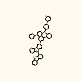 c1ccc(-c2ccc(N(c3ccc(-c4cccnc4)cc3)c3ccccc3-c3cccc(-c4ccc5c(c4)c4ccccc4n5-c4cccc5c4oc4ccccc45)c3)cc2)cc1